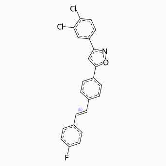 Fc1ccc(/C=C/c2ccc(-c3cc(-c4ccc(Cl)c(Cl)c4)no3)cc2)cc1